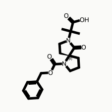 CC(C)(C(=O)O)N1CC[C@]2(CCCN2C(=O)OCc2ccccc2)C1=O